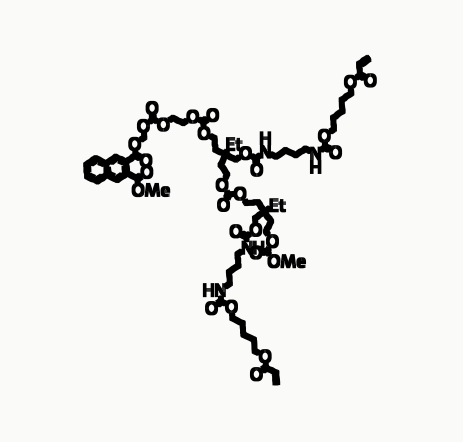 C=CC(=O)OCCCCCOC(=O)NCCCCNC(=O)OCC(CC)(CCOC(=O)OC)CCOC(=O)OCCC(CC)(CCOC(=O)OCCOC(=O)OCOC(=O)c1cc2ccccc2cc1C(=O)OC)COC(=O)NCCCCNC(=O)OCCCCCOC(=O)C=C